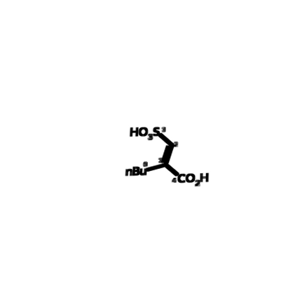 CCCC/C(=C\S(=O)(=O)O)C(=O)O